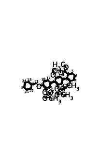 COC(=O)c1ccccc1-c1cc(OC)c(-c2ccc(OCc3ccccc3)c(OS(C)(=O)=O)c2)c(OS(C)(=O)=O)c1OC